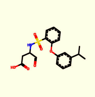 CC(C)c1cccc(Oc2ccccc2S(=O)(=O)NC(C=O)CC(=O)O)c1